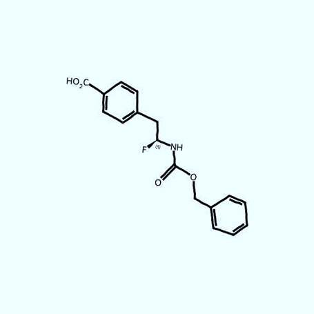 O=C(N[C@@H](F)Cc1ccc(C(=O)O)cc1)OCc1ccccc1